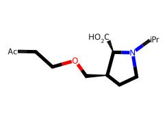 CC(=O)CCOC[C@@H]1CCN(C(C)C)[C@@H]1C(=O)O